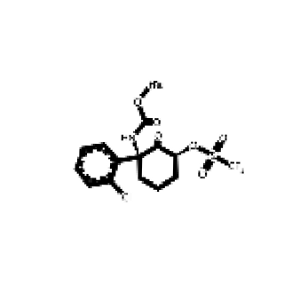 CC(C)(C)OC(=O)N[C@]1(c2ccccc2Cl)CCC[C@H](OS(=O)(=O)C(F)(F)F)C1=O